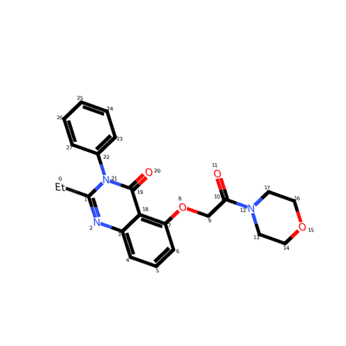 CCc1nc2cccc(OCC(=O)N3CCOCC3)c2c(=O)n1-c1ccccc1